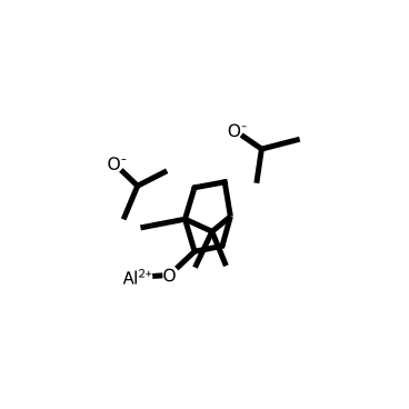 CC(C)[O-].CC(C)[O-].CC1(C)C2CCC1(C)C([O][Al+2])C2